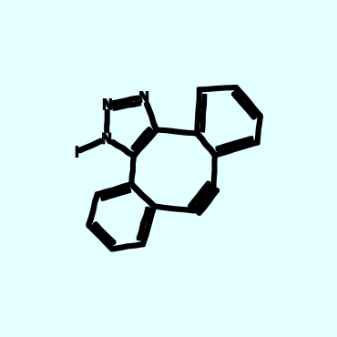 In1nnc2c1-c1ccccc1C#Cc1ccccc1-2